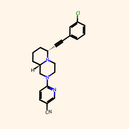 N#Cc1ccc(N2CCN3[C@@H](CCC[C@@H]3C#Cc3cccc(Cl)c3)C2)nc1